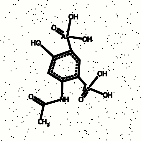 CC(=O)Nc1cc(O)c([As](=O)(O)O)cc1[As](=O)(O)O